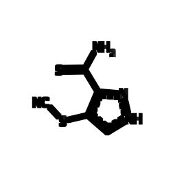 N#CSc1c[nH]nc1C(N)=S